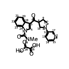 CNC(=O)n1cc(C(=O)C2CSN(c3cccnc3)C2)c2ccccc21.O=C(O)C(=O)O